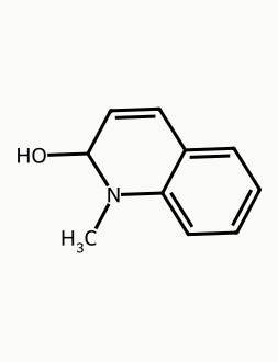 CN1c2ccccc2C=CC1O